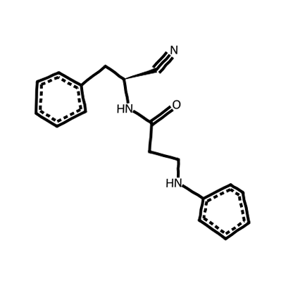 N#C[C@H](Cc1ccccc1)NC(=O)CCNc1ccccc1